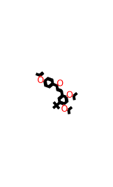 C=C(C)Oc1ccc(C(=O)C=Cc2cc(C(C)(C)C)c(OC(C)C)cc2OC(C)C)cc1